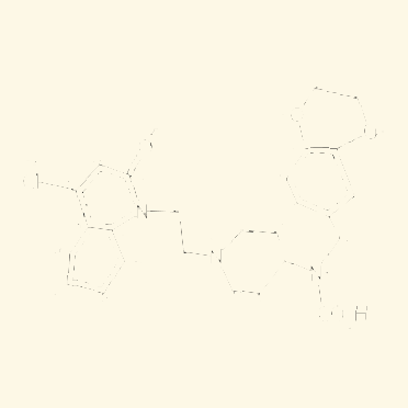 O=C(O)N(Cc1ccc2c(c1)OCCO2)C1CCN(CCn2c(=O)cc(Cl)c3ccccc32)CC1